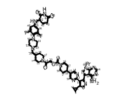 CC(C)n1nc(-c2noc(C3CC3)c2-c2ncc(C3CCN(C(=O)OCC(=O)N4CCC(CN5CCN(c6c(F)cc(NC7CCC(=O)NC7=O)cc6F)CC5)CC4)CC3)cn2)c2c(N)ncnc21